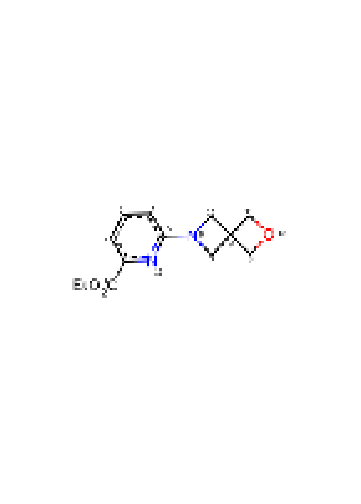 CCOC(=O)c1cccc(N2CC3(COC3)C2)n1